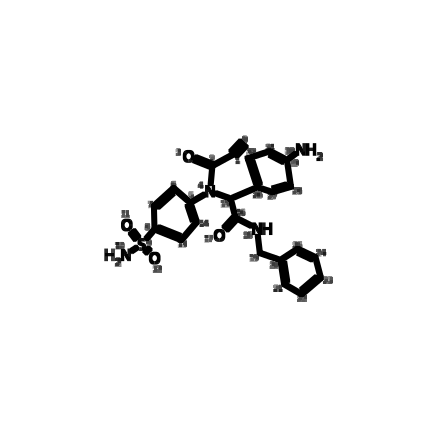 C#CC(=O)N(c1ccc(S(N)(=O)=O)cc1)C(C(=O)NCc1ccccc1)c1ccc(N)cc1